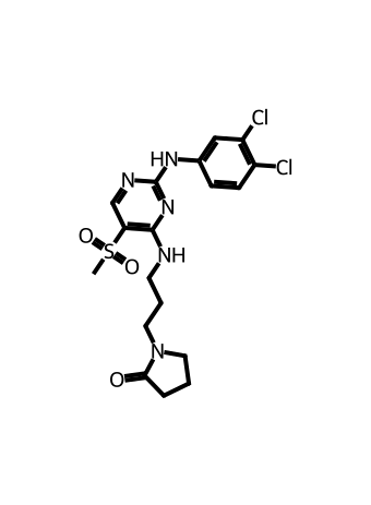 CS(=O)(=O)c1cnc(Nc2ccc(Cl)c(Cl)c2)nc1NCCCN1CCCC1=O